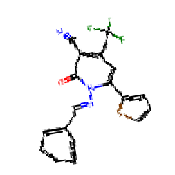 N#Cc1c(C(F)(F)F)cc(-c2cccs2)n(N=Cc2ccccc2)c1=O